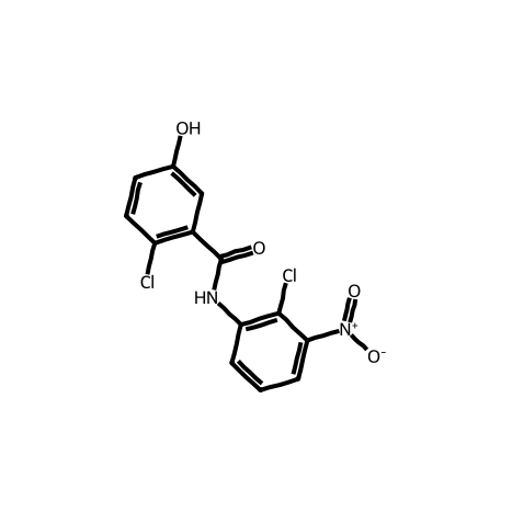 O=C(Nc1cccc([N+](=O)[O-])c1Cl)c1cc(O)ccc1Cl